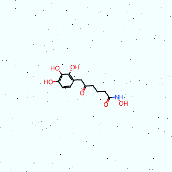 O=C(CCCC(=O)NO)Cc1ccc(O)c(O)c1O